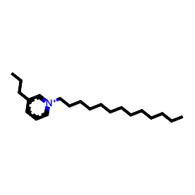 CCCCCCCCCCCCC[n+]1cccc(CCC)c1